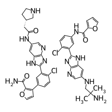 CC(C)(N)CNc1cnc2nc(-c3cc(NC(=O)c4ccco4)ccc3Cl)[nH]c2c1.NC(=O)c1occc1-c1ccc(Cl)c(-c2nc3ncc(NC(=O)C[C@@H]4CCNC4)cc3[nH]2)c1